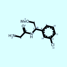 COC[C@H](NC(=O)CN)c1cccc(Cl)c1